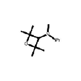 CC(C)N(C)C1C(C)(C)OC1(C)C